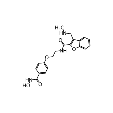 CNCc1c(C(=O)NCCOc2ccc(C(=O)NO)cc2)oc2ccccc12